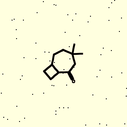 CC1(C)CCC2CCC2C(=O)C1